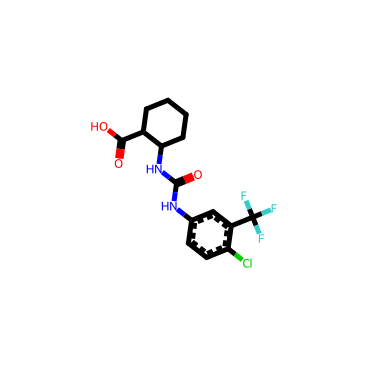 O=C(Nc1ccc(Cl)c(C(F)(F)F)c1)NC1CCCCC1C(=O)O